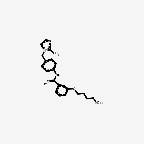 CCCCCCCCCCCCCCOc1cccc(C(=O)Nc2ccc(C[n+]3ccsc3C)cc2)c1.[Br-]